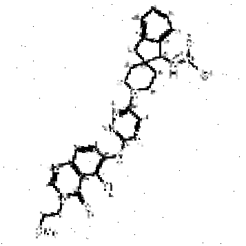 COCCn1cnc2ccc(Sc3ncc(N4CCC5(CC4)Cc4ccccc4C5N[S+]([O-])C(C)(C)C)nn3)c(Cl)c2c1=O